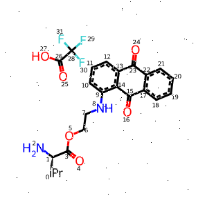 CC(C)[C@@H](N)C(=O)OCCNc1cccc2c1C(=O)c1ccccc1C2=O.O=C(O)C(F)(F)F